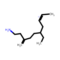 C=C(CCN)CCC(CC)C/C=C\C